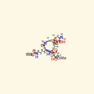 CO[C@]1(C)C[C@H](O[C@H]2[C@H](C)[C@@H](O[C@@H]3O[C@H](C)C[C@H](N(C)C)[C@H]3O)[C@](C)(O)C[C@@H](C)CN(C)C(=O)C[C@H](CCCCNC(=O)OC(C)(C)C)NC(=O)[C@@H]2C)O[C@@H](C)[C@@H]1O